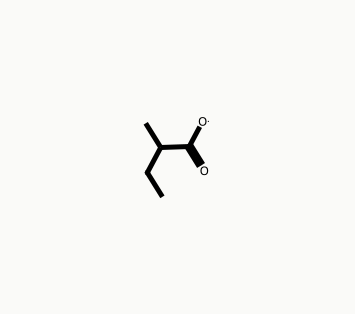 CCC(C)C([O])=O